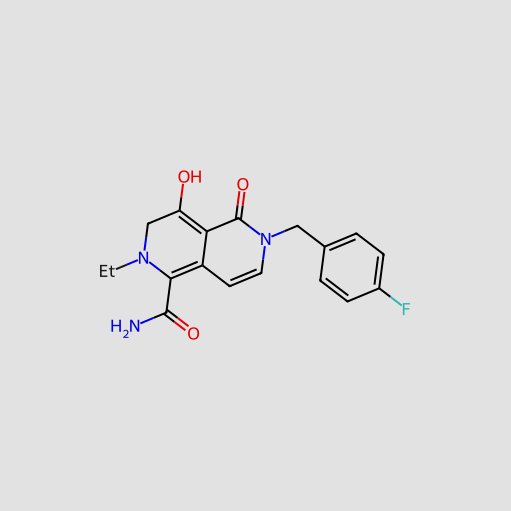 CCN1CC(O)=c2c(ccn(Cc3ccc(F)cc3)c2=O)=C1C(N)=O